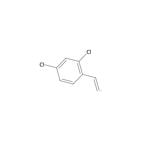 [CH]=Cc1ccc(Cl)cc1Cl